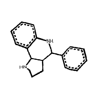 c1ccc(C2Nc3ccccc3C3NCCC23)cc1